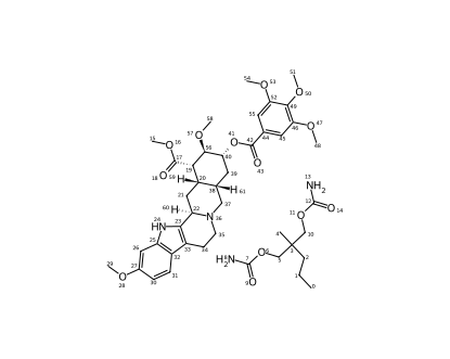 CCCC(C)(COC(N)=O)COC(N)=O.COC(=O)[C@H]1[C@H]2C[C@@H]3c4[nH]c5cc(OC)ccc5c4CCN3C[C@H]2C[C@@H](OC(=O)c2cc(OC)c(OC)c(OC)c2)[C@@H]1OC